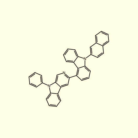 c1ccc(-n2c3ccccc3c3cc(-c4cccc5c4c4ccccc4n5-c4ccc5ccccc5c4)ncc32)cc1